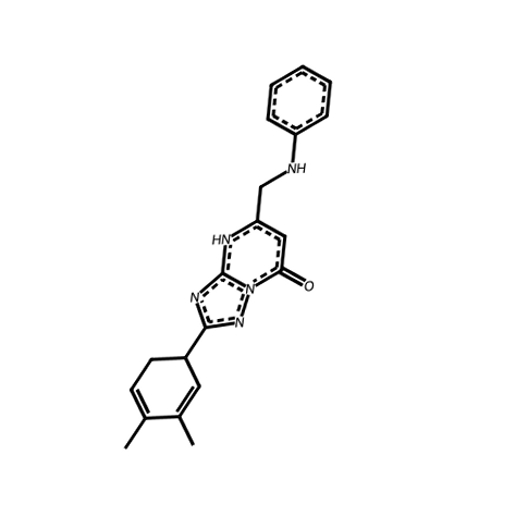 CC1=CCC(c2nc3[nH]c(CNc4ccccc4)cc(=O)n3n2)C=C1C